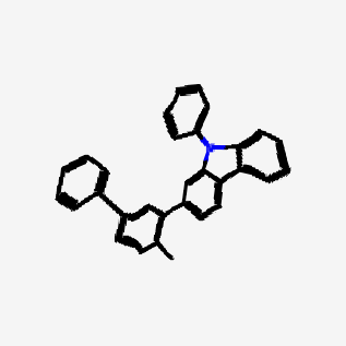 Cc1ccc(-c2ccccc2)cc1-c1ccc2c3ccccc3n(-c3ccccc3)c2c1